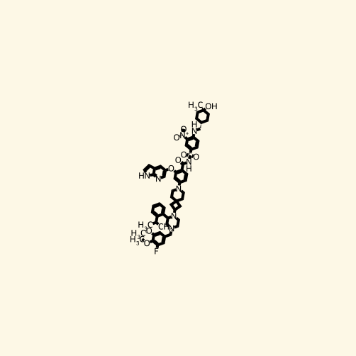 COc1cc(CN2CCN(C3CC4(CCN(c5ccc(C(=O)NS(=O)(=O)c6ccc(NC[C@H]7CC[C@](C)(O)CC7)c([N+](=O)[O-])c6)c(Oc6cnc7[nH]ccc7c6)c5)CC4)C3)C(c3ccccc3C(C)C)C2)cc(F)c1OC